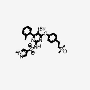 Cc1ccccc1-c1nc(NS(=O)(=O)c2cnn(C)c2)nc(Oc2ccc(CCP(C)(C)=O)cc2)c1C(C)(C)C